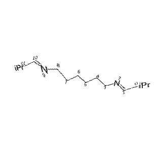 CC(C)C=NCCCCCCN=CC(C)C